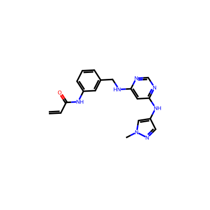 C=CC(=O)Nc1cccc(CNc2cc(Nc3cnn(C)c3)ncn2)c1